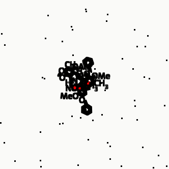 COc1cc2c(cc1OCc1ccccc1)CCN[C@]21CS[C@@H]2c3c(OC(C)=O)c(C)c4c(c3[C@H](COC1=O)N1C2[C@@H]2c3c(cc(C)c(OC)c3OCc3ccccc3)C[C@H]([C@@H]1C#N)N2C)OCO4